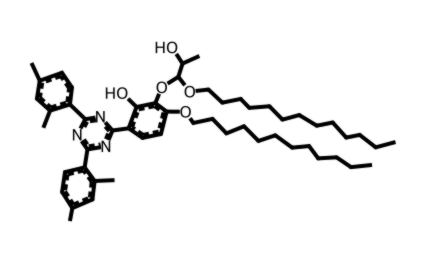 CCCCCCCCCCCCCOC(Oc1c(OCCCCCCCCCCCC)ccc(-c2nc(-c3ccc(C)cc3C)nc(-c3ccc(C)cc3C)n2)c1O)C(C)O